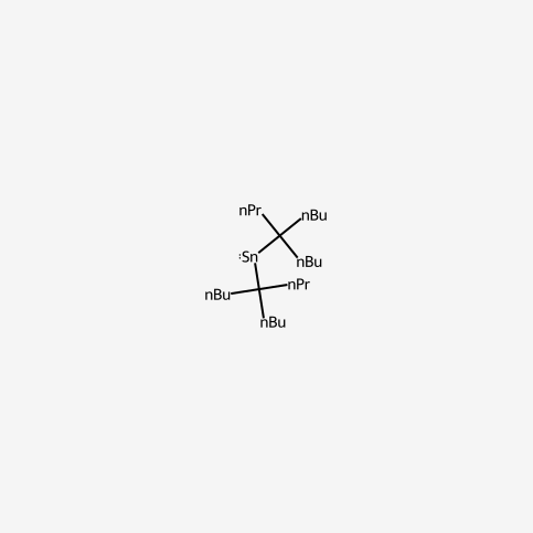 CCCC[C](CCC)(CCCC)[Sn][C](CCC)(CCCC)CCCC